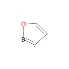 b1[c]cco1